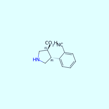 N#Cc1ccccc1[C@@H]1CNC[C@H]1C(=O)O